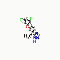 CC(c1cccc(Oc2cc(Cl)cc(Cl)c2)c1)c1nnn[nH]1